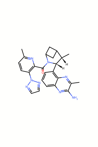 Cc1ccc(-n2nccn2)c(C(=O)N2C3CC(C3)[C@H](C)[C@@H]2c2cccc3nc(N)c(C)nc23)n1